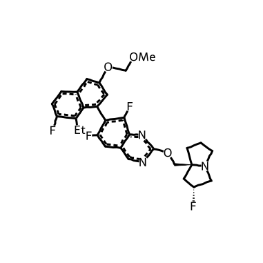 CCc1c(F)ccc2cc(OCOC)cc(-c3c(F)cc4cnc(OC[C@@]56CCCN5C[C@H](F)C6)nc4c3F)c12